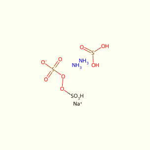 N.N.O=S(=O)([O-])OOS(=O)(=O)O.O=S(O)O.[Na+]